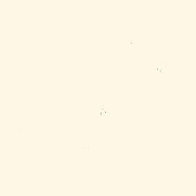 CNc1ccc(NC(=O)c2ccc(C(C)=O)cc2S(=O)(=O)O)cc1S(=O)(=O)O